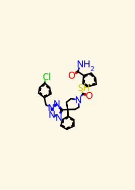 NC(=O)c1ccccc1.O=C(S)N1CCC(c2ccccc2)(c2nnn(Cc3ccc(Cl)cc3)n2)CC1